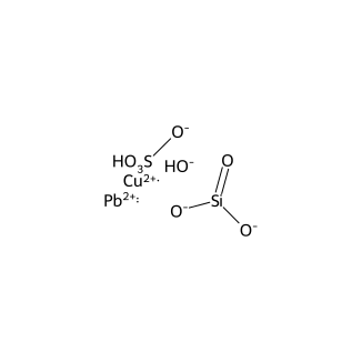 O=S(=O)([O-])O.O=[Si]([O-])[O-].[Cu+2].[OH-].[Pb+2]